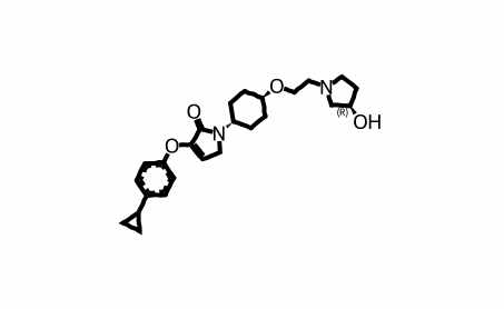 O=C1C(Oc2ccc(C3CC3)cc2)=CCN1[C@H]1CC[C@H](OCCN2CC[C@@H](O)C2)CC1